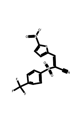 N#C/C(=C/c1ccc([N+](=O)[O-])s1)S(=O)(=O)c1ccc(C(F)(F)F)cc1